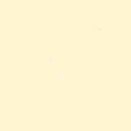 CCOCn1c(C(=O)OCCOC)nc(Cl)c1Cl